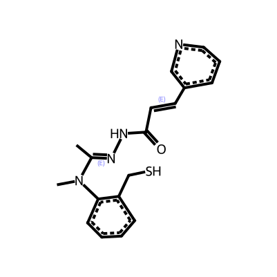 C/C(=N\NC(=O)/C=C/c1cccnc1)N(C)c1ccccc1CS